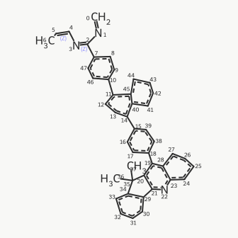 C=N/C(=N\C=C/C)c1ccc(-c2ccc(-c3ccc(-c4c5c(nc6ccccc46)-c4ccccc4C5(C)C)cc3)c3ccccc23)cc1